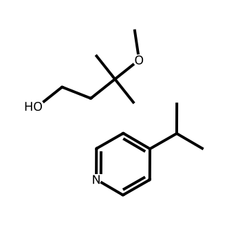 CC(C)c1ccncc1.COC(C)(C)CCO